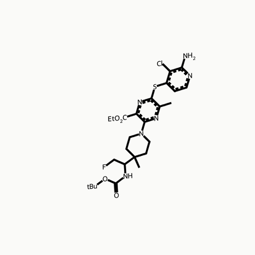 CCOC(=O)c1nc(Sc2ccnc(N)c2Cl)c(C)nc1N1CCC(C)(C(CF)NC(=O)OC(C)(C)C)CC1